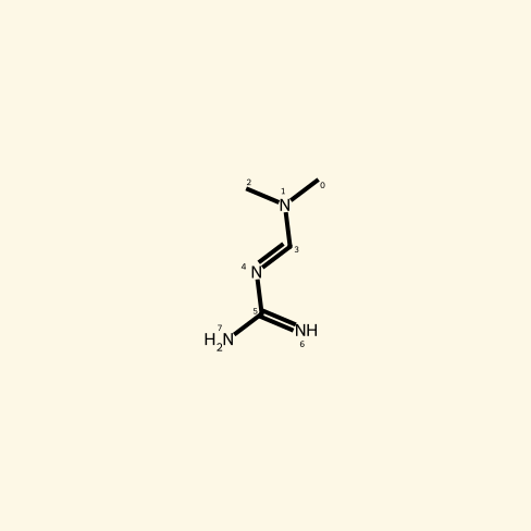 CN(C)C=NC(=N)N